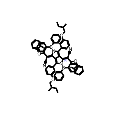 CCC(C)COc1cccc(-c2c3/c(=C(\C#N)c4nc5ccccc5o4)n(B(c4ccccc4)c4ccccc4)c(-c4cccc(OCC(C)CC)c4)c3/c(=C(\C#N)c3nc4ccccc4o3)n2B(c2ccccc2)c2ccccc2)c1